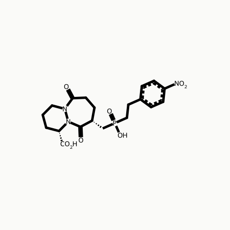 O=C(O)[C@@H]1CCCN2C(=O)CC[C@H](CP(=O)(O)CCc3ccc([N+](=O)[O-])cc3)C(=O)N12